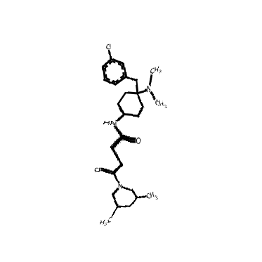 CC1CC(C)CN(C(=O)CCC(=O)NC2CCC(Cc3cccc(Cl)c3)(N(C)C)CC2)C1